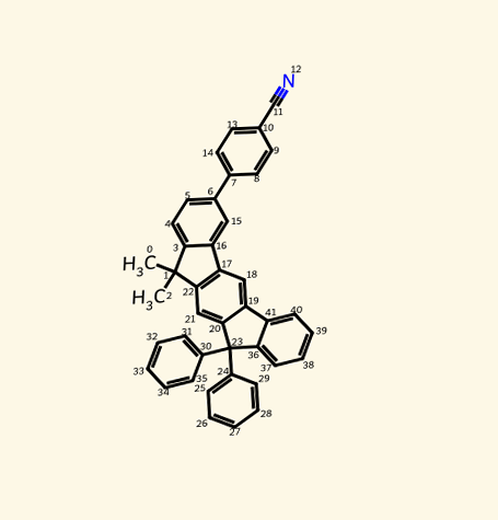 CC1(C)c2ccc(-c3ccc(C#N)cc3)cc2-c2cc3c(cc21)C(c1ccccc1)(c1ccccc1)c1ccccc1-3